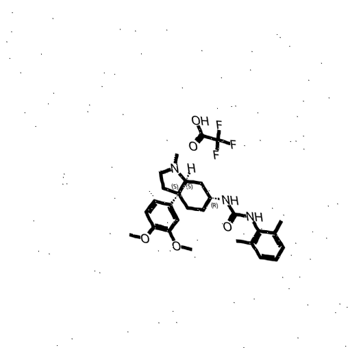 COc1ccc([C@@]23CC[C@@H](NC(=O)Nc4c(C)cccc4C)C[C@@H]2N(C)CC3)cc1OC.O=C(O)C(F)(F)F